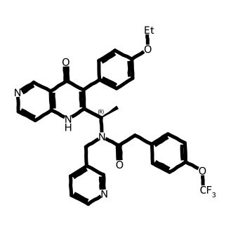 CCOc1ccc(-c2c([C@@H](C)N(Cc3cccnc3)C(=O)Cc3ccc(OC(F)(F)F)cc3)[nH]c3ccncc3c2=O)cc1